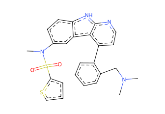 CN(C)Cc1ccccc1-c1ccnc2[nH]c3ccc(N(C)S(=O)(=O)c4cccs4)cc3c12